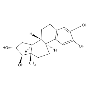 C[C@]12CC[C@@H]3c4cc(O)c(O)cc4CC[C@H]3[C@@H]1C[C@@H](O)[C@@H]2O